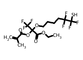 C=C(C)C(=O)OC(OCCCCC(F)(F)C(F)(F)S)(C(=O)OCC)C(F)(F)F